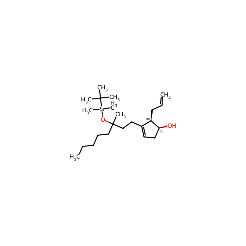 C=CC[C@@H]1C(CCC(C)(CCCCC)O[Si](C)(C)C(C)(C)C)=CC[C@@H]1O